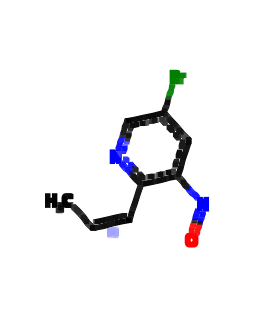 C/C=C\c1ncc(Br)cc1N=O